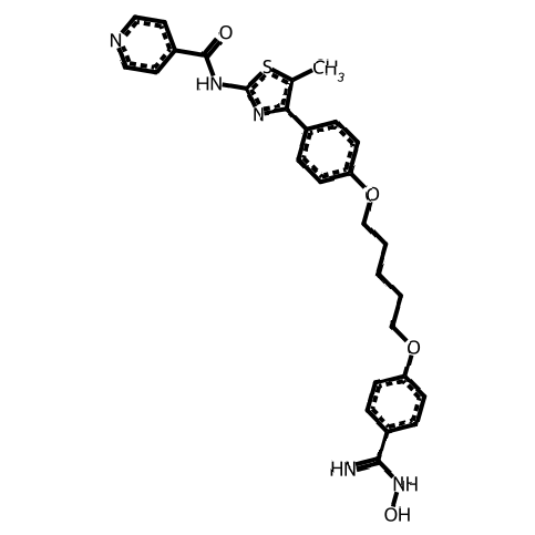 Cc1sc(NC(=O)c2ccncc2)nc1-c1ccc(OCCCCCOc2ccc(C(=N)NO)cc2)cc1